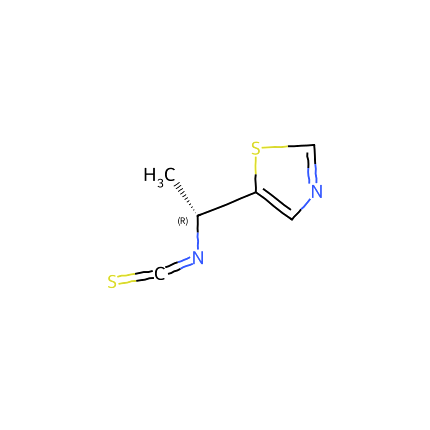 C[C@@H](N=C=S)c1cncs1